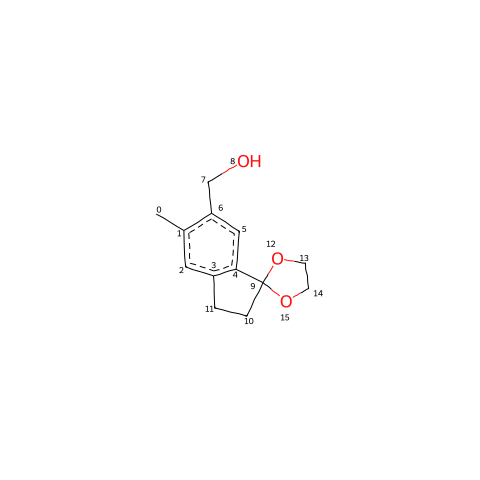 Cc1cc2c(cc1CO)C1(CC2)OCCO1